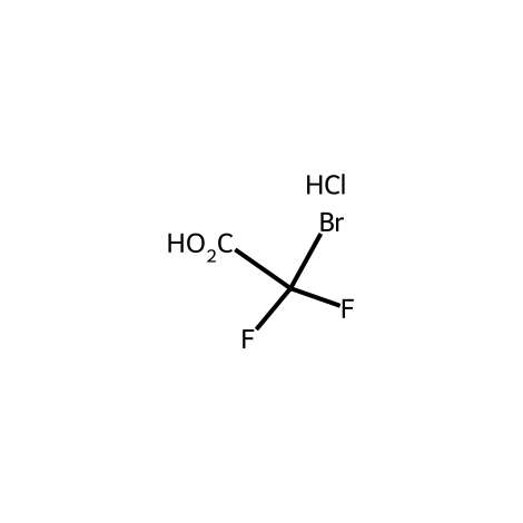 Cl.O=C(O)C(F)(F)Br